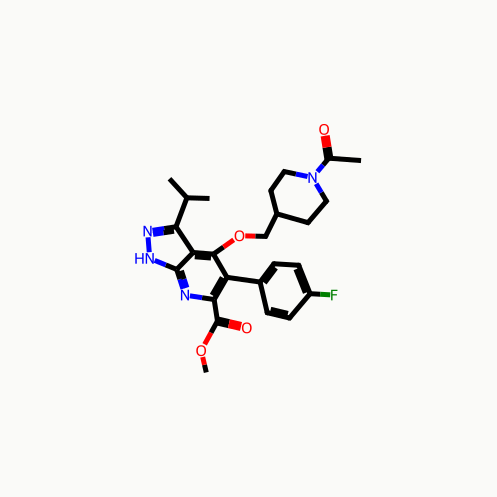 COC(=O)c1nc2[nH]nc(C(C)C)c2c(OCC2CCN(C(C)=O)CC2)c1-c1ccc(F)cc1